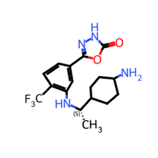 C[C@H](Nc1cc(-c2n[nH]c(=O)o2)ccc1C(F)(F)F)C1CCC(N)CC1